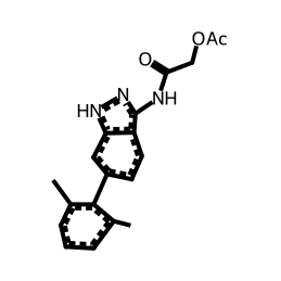 CC(=O)OCC(=O)Nc1n[nH]c2cc(-c3c(C)cccc3C)ccc12